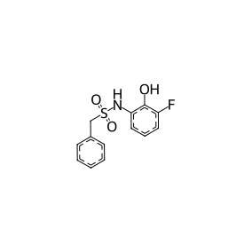 O=S(=O)(Cc1ccccc1)Nc1cccc(F)c1O